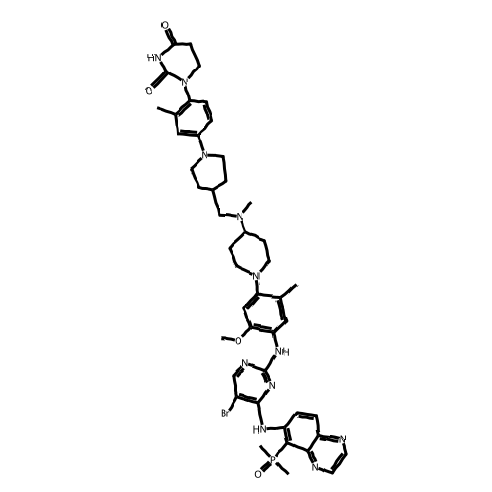 COc1cc(N2CCC(N(C)CC3CCN(c4ccc(N5CCC(=O)NC5=O)c(C)c4)CC3)CC2)c(C)cc1Nc1ncc(Br)c(Nc2ccc3nccnc3c2P(C)(C)=O)n1